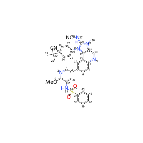 COc1ncc(-c2ccc3ncc4c(c3c2)n(-c2ccc(C(C)(C)C#N)cc2)/c(=N\C#N)n4C)cc1NS(=O)(=O)c1ccccc1